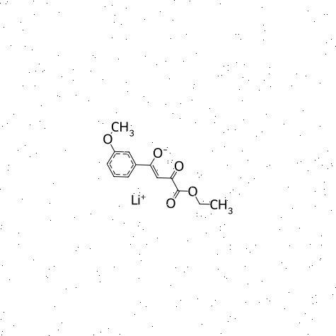 CCOC(=O)C(=O)C=C([O-])c1cccc(OC)c1.[Li+]